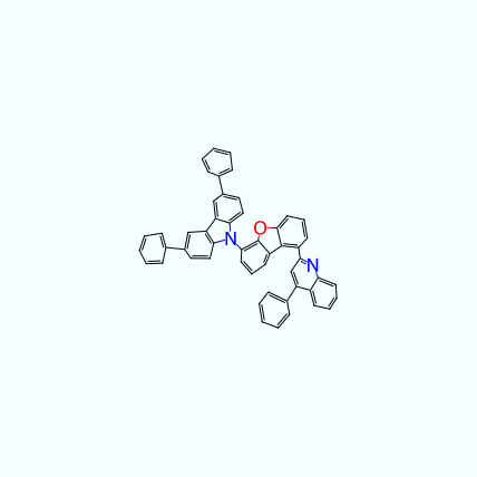 c1ccc(-c2ccc3c(c2)c2cc(-c4ccccc4)ccc2n3-c2cccc3c2oc2cccc(-c4cc(-c5ccccc5)c5ccccc5n4)c23)cc1